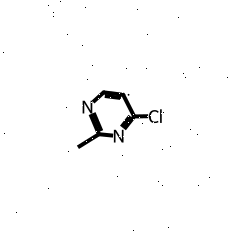 Cc1nc[c]c(Cl)n1